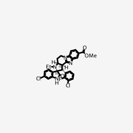 CCN1[C@H]2CCn3c(nc4cc(C(=O)OC)ccc43)[C@H]2[C@H](c2cccc(Cl)c2F)[C@]12C(=O)Nc1cc(Cl)ccc12